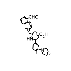 Cc1ccc(C(CC(=O)O)NC(=O)CN(C)/C=N\c2ccccc2C=O)cc1N1CCOCC1